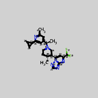 Cc1cc([C@@H](C)N2CC[C@@H](C)[C@H](c3cc(C(F)F)nc4ncnn34)C2)cc(C2CC2)n1